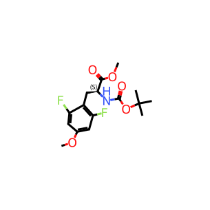 COC(=O)[C@H](Cc1c(F)cc(OC)cc1F)NC(=O)OC(C)(C)C